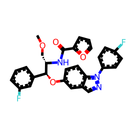 COC[C@H](NC(=O)c1ccco1)[C@@H](Oc1ccc2c(cnn2-c2ccc(F)cc2)c1)c1cccc(F)c1